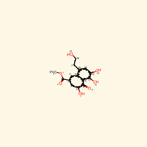 COC(=O)c1cc(O)c(=O)c2c(O)c(O)cc(CCO)c2c1